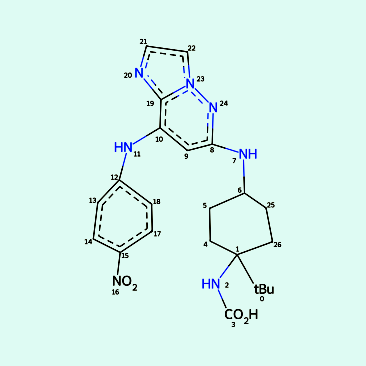 CC(C)(C)C1(NC(=O)O)CCC(Nc2cc(Nc3ccc([N+](=O)[O-])cc3)c3nccn3n2)CC1